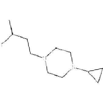 CC(I)CCN1CCN(C2CC2)CC1